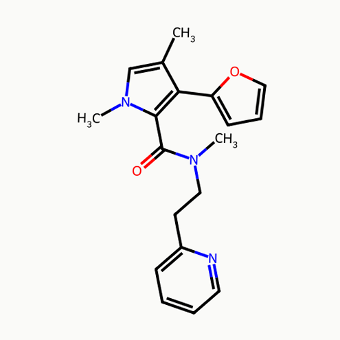 Cc1cn(C)c(C(=O)N(C)CCc2ccccn2)c1-c1ccco1